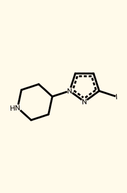 Ic1ccn(C2CCNCC2)n1